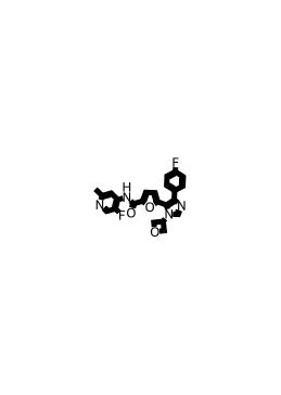 Cc1cc(NC(=O)c2ccc(-c3c(-c4ccc(F)cc4)ncn3C3COC3)o2)c(F)cn1